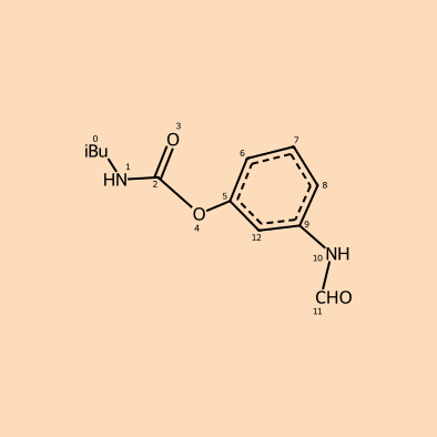 CCC(C)NC(=O)Oc1cccc(NC=O)c1